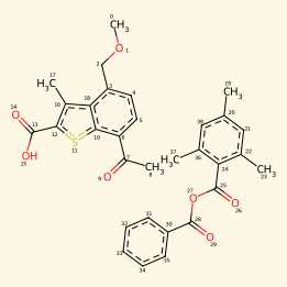 COCc1ccc(C(C)=O)c2sc(C(=O)O)c(C)c12.Cc1cc(C)c(C(=O)OC(=O)c2ccccc2)c(C)c1